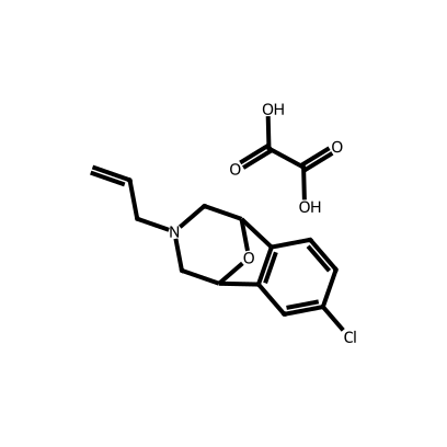 C=CCN1CC2OC(C1)c1cc(Cl)ccc12.O=C(O)C(=O)O